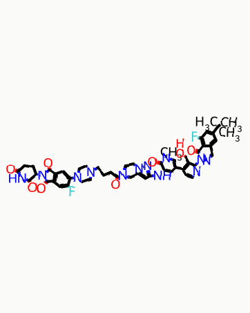 Cn1cc(-c2ccnc(-n3ncc4cc(C(C)(C)C)cc(F)c4c3=O)c2CO)cc(Nc2cc3n(n2)CCN(C(=O)CCCN2CCN(c4cc5c(cc4F)C(=O)N(C4CCC(=O)NC4=O)C5=O)CC2)C3)c1=O